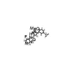 COc1ccc(C2CC2)cc1-c1cc(C(=O)Nc2c(F)cncc2F)nn1C